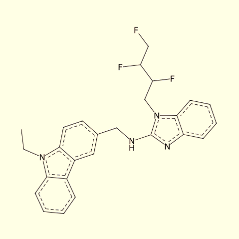 CCn1c2ccccc2c2cc(CNc3nc4ccccc4n3CC(F)C(F)CF)ccc21